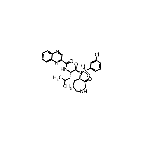 CC(C)C[C@H](NC(=O)c1cnc2ccccc2n1)C(=O)N(C1CCCNCC1=O)S(=O)(=O)c1cccc(Cl)c1